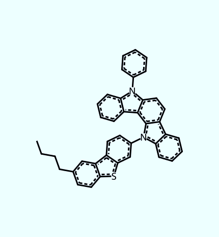 CCCCc1ccc2sc3cc(-n4c5ccccc5c5ccc6c(c7ccccc7n6-c6ccccc6)c54)ccc3c2c1